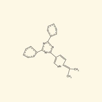 CCC/C=C(\C=C/C=C(C)C)c1nc(-c2ccccc2)nc(-c2ccccc2)n1